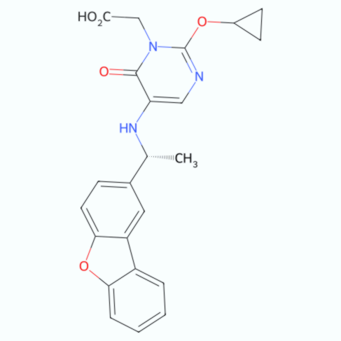 C[C@@H](Nc1cnc(OC2CC2)n(CC(=O)O)c1=O)c1ccc2oc3ccccc3c2c1